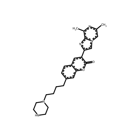 Cc1cn2cc(-c3cc4ccc(CCCCN5CCNCC5)cc4oc3=O)nc2c(C)n1